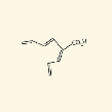 C=CC=CC(=CC=C)C(=O)O